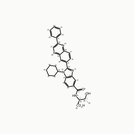 C[C@@H](O)[C@H](NC(=O)c1ccc2c(c1)nc(-c1ccc3nc(-c4ccccc4)cnc3c1)n2C1CCCCC1)C(=O)O